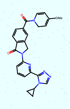 COC1=CCN(C(=O)c2ccc3c(c2)CN(c2cccc(-c4nncn4C4CC4)n2)C3=O)C=C1